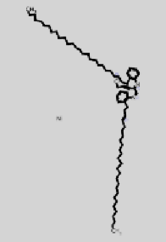 CCC#CC(/C=N\c1ccccc1CC/C=C/CCCCCCCCCCCCCCCCCCCCCCC)=N\c1ccccc1CC/C=C/CCCCCCCCCCCCCCCCCCCCCCC.[Ni]